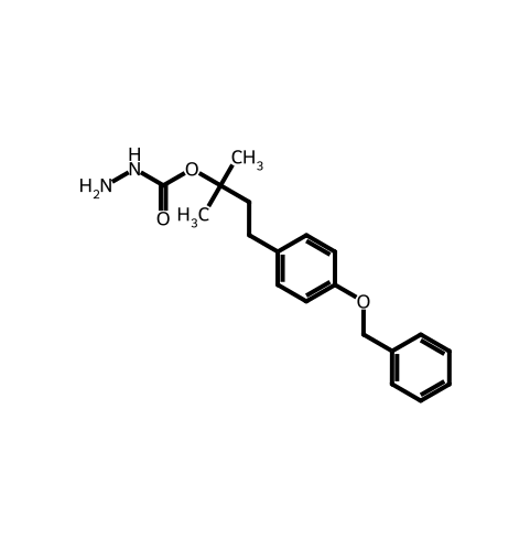 CC(C)(CCc1ccc(OCc2ccccc2)cc1)OC(=O)NN